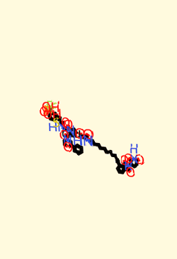 CC(C)(C)[C@H](NC(=O)c1cc2cc(C(F)(F)P(=O)(O)O)ccc2s1)C(=O)N1C[C@@H](OCC(=O)NCCCCCCCCCC#Cc2cccc3c2C(=O)N(C2CCC(=O)NC2=O)C3=O)C[C@H]1C(=O)N1CCOC(c2ccccc2)C1